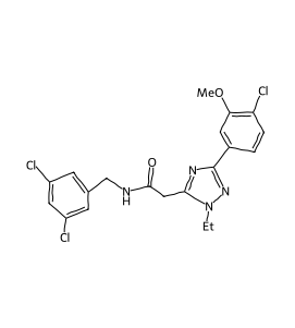 CCn1nc(-c2ccc(Cl)c(OC)c2)nc1CC(=O)NCc1cc(Cl)cc(Cl)c1